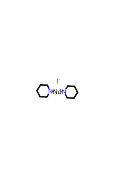 C1CC[N]([Nd+][N]2CCCCC2)CC1.[I-]